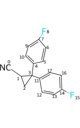 N#CC1CC1(c1ccc(F)cc1)c1ccc(F)cc1